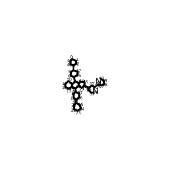 c1ccc(-c2ccc(-c3c4ccccc4c(-c4ccc(-c5ccccc5)cc4)c4cc(-c5ccnc(-c6ccccn6)c5)ccc34)cc2)cc1